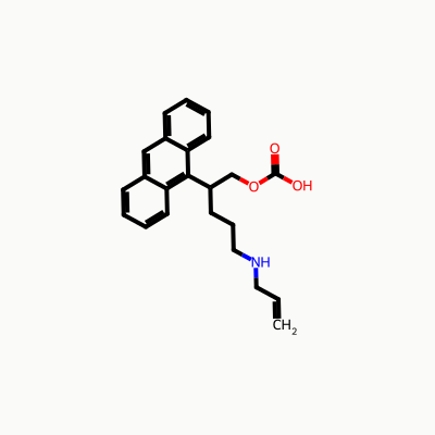 C=CCNCCCC(COC(=O)O)c1c2ccccc2cc2ccccc12